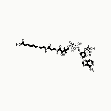 CC(C)(COP(=O)(O)OP(=O)(O)OC[C@H]1O[C@@H](n2cnc3c(N)ncnc32)[C@H](O)[C@@H]1OP(=O)(O)O)C(O)C(=O)NCCC(=O)NCCSCC=CCCC(=O)O